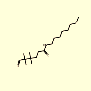 COCCCCCCNC(=O)CCC(C)(C)C(C)(C)C=O